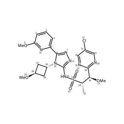 COc1cccc(-c2nnc(NS(=O)(=O)[C@@H](C)[C@H](OC)c3ncc(Cl)cn3)n2[C@H]2C[C@H](OC)C2)n1